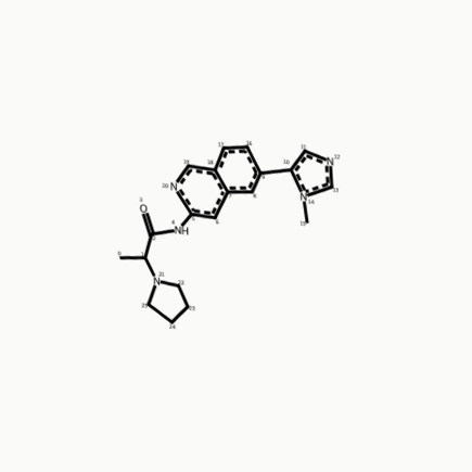 CC(C(=O)Nc1cc2cc(-c3cncn3C)ccc2cn1)N1CCCC1